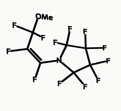 COC(F)(F)/C(F)=C(/F)N1C(F)(F)C(F)(F)C(F)(F)C1(F)F